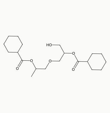 CC(COCC(CO)OC(=O)C1CCCCC1)OC(=O)C1CCCCC1